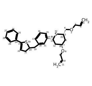 C=CCOC[C@@H]1C[C@H](OCC=C)C[C@H](c2cccc(CC3CC=C(c4ccccc4)S3)c2)S1